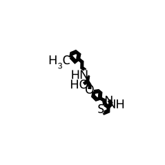 Cc1cccc(CCCNCC(O)COc2ccc(-c3n[nH]c4ccsc34)cc2)c1